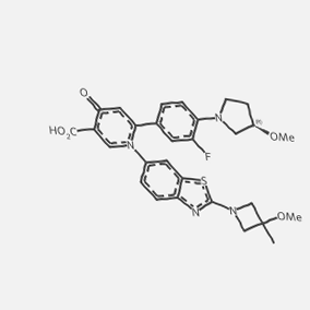 CO[C@@H]1CCN(c2ccc(-c3cc(=O)c(C(=O)O)cn3-c3ccc4nc(N5CC(C)(OC)C5)sc4c3)cc2F)C1